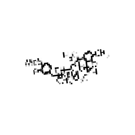 CSc1ccc(CC(C)(C)NCC(O)CO[C@H](C)c2ccc(C)c3c2[C@@H]2[C@H](O3)[C@H]2C(=O)O)cc1F